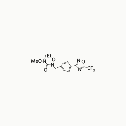 CCON(Cc1ccc(-c2noc(C(F)(F)F)n2)cc1)C(=O)N(C)OC